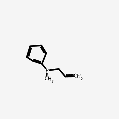 C=CCP(C)c1ccccc1